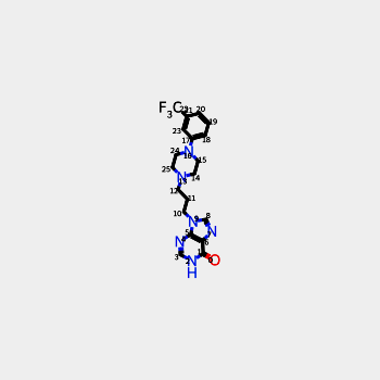 O=c1[nH]cnc2c1ncn2CCCN1CCN(c2cccc(C(F)(F)F)c2)CC1